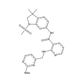 CNc1nccc(CNc2ncccc2C(=O)Nc2ccc3c(c2)N(S(C)(=O)=O)CC3(C)C)n1